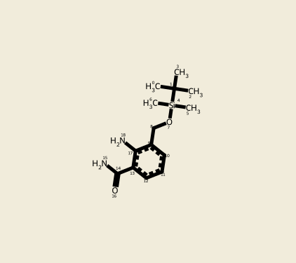 CC(C)(C)[Si](C)(C)OCc1cccc(C(N)=O)c1N